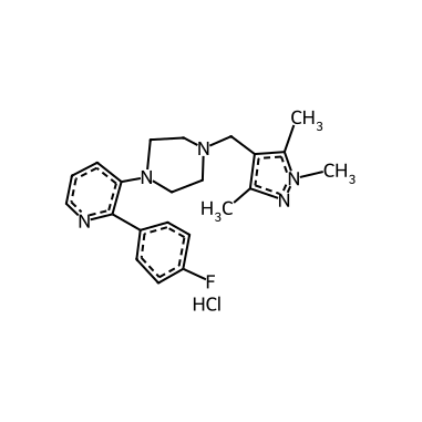 Cc1nn(C)c(C)c1CN1CCN(c2cccnc2-c2ccc(F)cc2)CC1.Cl